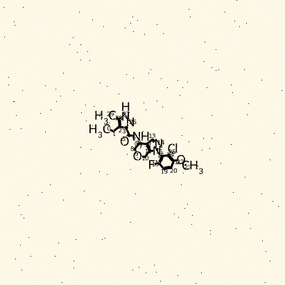 CCc1c(C(=O)N[C@H]2COCc3c2cnn3-c2c(F)ccc(OC)c2Cl)n[nH]c1C